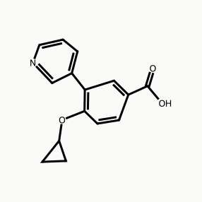 O=C(O)c1ccc(OC2CC2)c(-c2cccnc2)c1